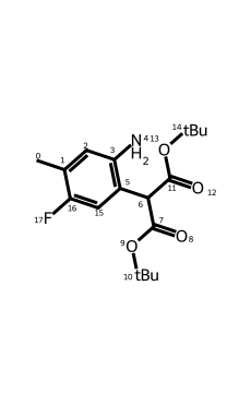 Cc1cc(N)c(C(C(=O)OC(C)(C)C)C(=O)OC(C)(C)C)cc1F